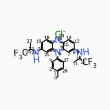 Cc1ccc(-[n+]2c3cc(NC(C)C(F)(F)F)ccc3nc3ccc(NC(C)C(F)(F)F)cc32)cc1.[Cl-]